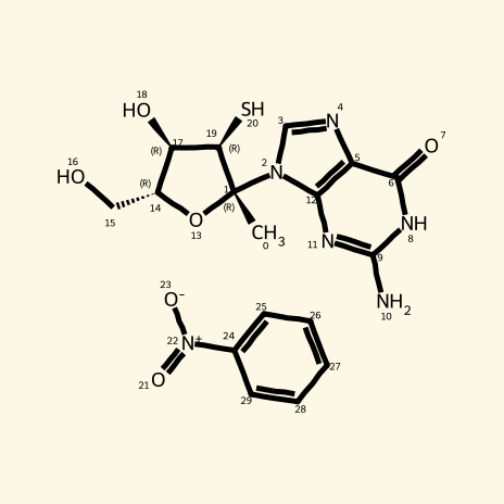 C[C@@]1(n2cnc3c(=O)[nH]c(N)nc32)O[C@H](CO)[C@@H](O)[C@H]1S.O=[N+]([O-])c1ccccc1